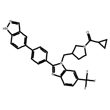 O=C(C1CC1)N1CCC(Cn2c(-c3ccc(-c4ccc5[nH]ncc5c4)cc3)nc3ccc(C(F)(F)F)cc32)C1